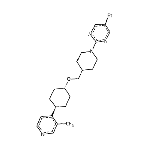 CCc1cnc(N2CCC(CO[C@H]3CC[C@H](c4ccncc4C(F)(F)F)CC3)CC2)nc1